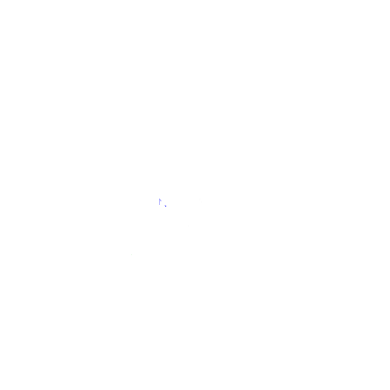 Clc1cnc2c(c1)CC[C@H]2Cc1ccccc1